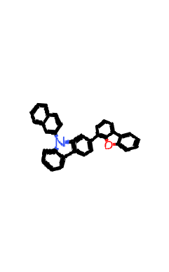 c1ccc2cc(-n3c4ccccc4c4ccc(-c5cccc6c5oc5ccccc56)cc43)ccc2c1